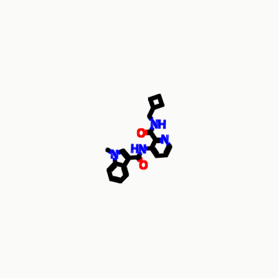 Cn1cc(C(=O)Nc2cccnc2C(=O)NCC2CCC2)c2ccccc21